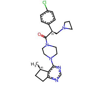 C[C@@H]1CCc2ncnc(N3CCN(C(=O)[C@H](CN4CCC4)c4ccc(Cl)cc4)CC3)c21